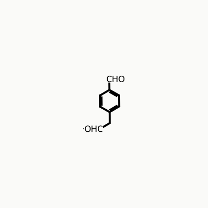 O=[C]Cc1ccc(C=O)cc1